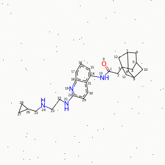 O=C(CC12CC3CC(CC(C3)C1)C2)Nc1cccc2nc(NCCNCC3CC3)ccc12